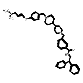 CN(C)CCCOc1ccc(CN2CCC(C3CCN(Cc4cccc(C(=O)NCC(c5ccccc5)c5ccccc5)c4)CC3)CC2)cc1